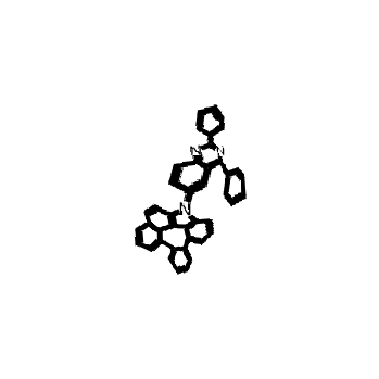 c1ccc(-c2nc(-c3ccccc3)c3cc(-n4c5cccc6c5c5c7c(cccc7ccc54)-c4ccccc4-6)ccc3n2)cc1